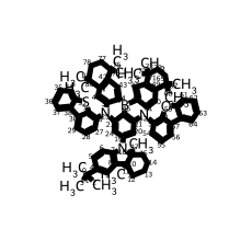 CC(C)(C)c1ccc2c(c1)C1(C)CCCCC1(C)N2c1cc2c3c(c1)N(c1cccc4c1sc1ccccc14)c1cc4c(cc1B3c1cc3c(cc1N2c1cccc2c1oc1ccccc12)C(C)(C)CCC3(C)C)C(C)(C)CCC4(C)C